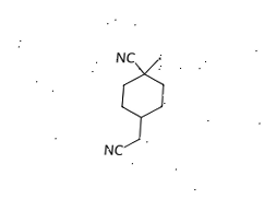 CC1(C#N)CCC(CC#N)CC1